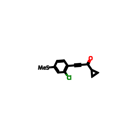 CSc1ccc(C#CC(=O)C2CC2)c(Cl)c1